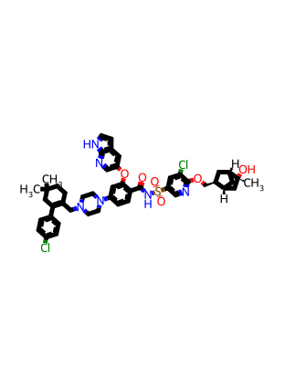 CC1(C)CCC(CN2CCN(c3ccc(C(=O)NS(=O)(=O)c4cnc(OC[C@H]5C[C@H]6C[C@@H]5C[C@]6(C)O)c(Cl)c4)c(Oc4cnc5[nH]ccc5c4)c3)CC2)=C(c2ccc(Cl)cc2)C1